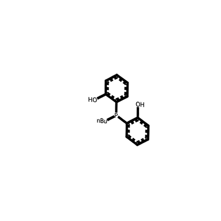 CCCCP(c1ccccc1O)c1ccccc1O